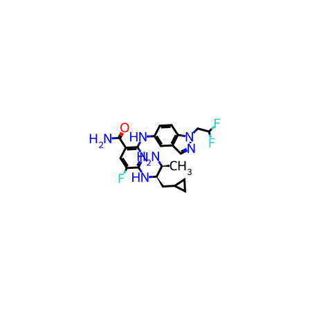 C[C@H](N)[C@@H](CC1CC1)Nc1nc(Nc2ccc3c(cnn3CC(F)F)c2)c(C(N)=O)cc1F